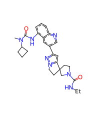 CCNC(=O)N1CCC2(CCn3nc(-c4cnc5cccc(NC(=O)N(C)C6CCC6)c5c4)cc32)C1